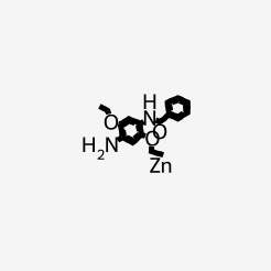 CCOc1cc(NC(=O)c2ccccc2)c(OCC)cc1N.[Zn]